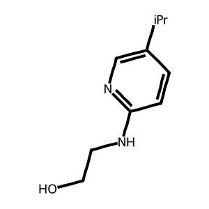 CC(C)c1ccc(NCCO)nc1